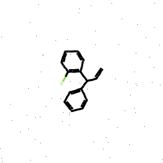 C=CC(c1ccccc1)c1ccc[c]c1F